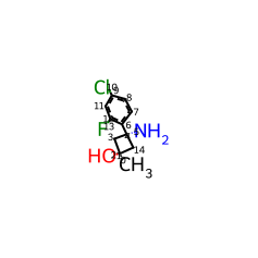 C[C@]1(O)C[C@@](N)(c2ccc(Cl)cc2F)C1